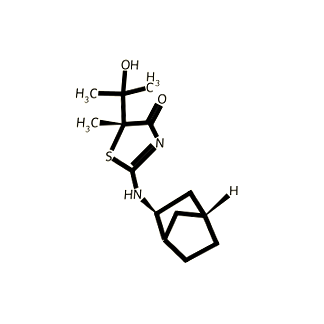 CC(C)(O)[C@@]1(C)SC(N[C@H]2C[C@@H]3CCC2C3)=NC1=O